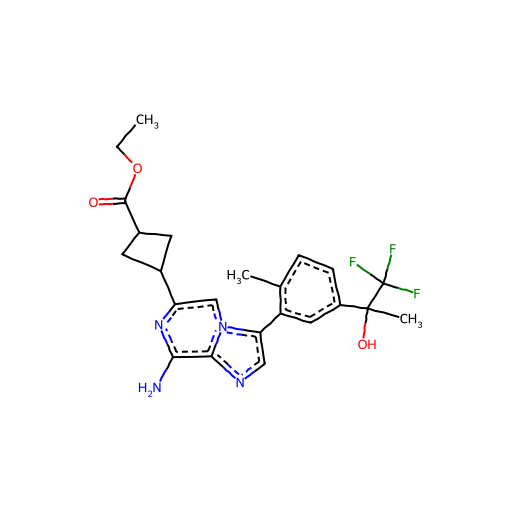 CCOC(=O)C1CC(c2cn3c(-c4cc(C(C)(O)C(F)(F)F)ccc4C)cnc3c(N)n2)C1